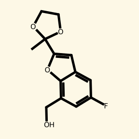 CC1(c2cc3cc(F)cc(CO)c3o2)OCCO1